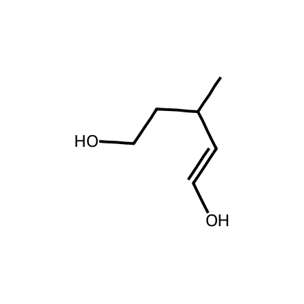 CC(C=CO)CCO